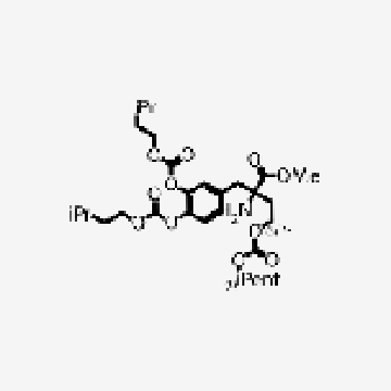 CCC[C@H](C)OC(=O)O[C@@H](C)CC(N)(Cc1ccc(OC(=O)OCCC(C)C)c(OC(=O)OCCC(C)C)c1)C(=O)OC